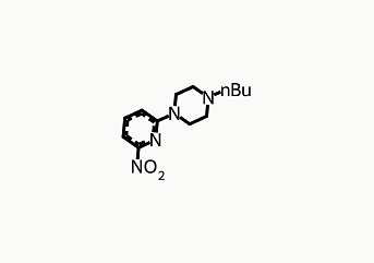 CCCCN1CCN(c2cccc([N+](=O)[O-])n2)CC1